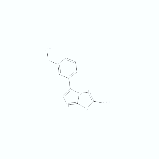 CSc1nn2c(-c3cccc(OC(F)(F)F)c3)cnc2s1